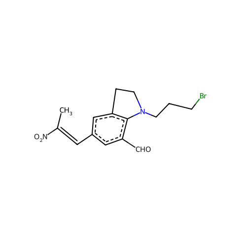 CC(=Cc1cc(C=O)c2c(c1)CCN2CCCBr)[N+](=O)[O-]